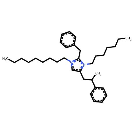 CCCCCCCCCn1cc(CC(C)c2ccccc2)[n+](CCCCCCC)c1Cc1ccccc1